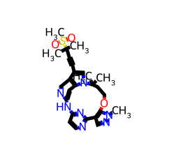 Cn1ncc2c1OCCC(C)(C)n1cc(C#CC(C)(C)S(C)(=O)=O)c3cnc(cc31)Nc1ccnc-2n1